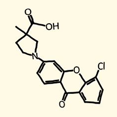 CC1(C(=O)O)CCN(c2ccc3c(=O)c4cccc(Cl)c4oc3c2)C1